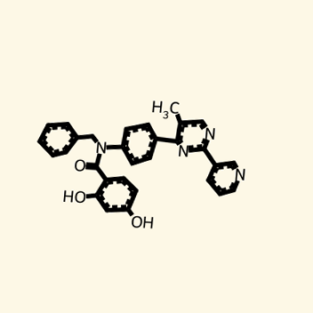 Cc1cnc(-c2cccnc2)nc1-c1ccc(N(Cc2ccccc2)C(=O)c2ccc(O)cc2O)cc1